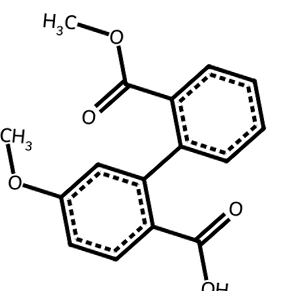 COC(=O)c1ccccc1-c1cc(OC)ccc1C(=O)O